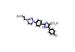 CC(=O)OCCN1CCN(c2ccc(-c3nc(C(=O)O)c(-c4ccc(Cl)cc4)[nH]3)cc2)CC1